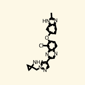 CC(=O)NC1(Cn2cc(-c3cnc4ccc(Oc5ccc6nc(C)[nH]c6c5)c(Cl)c4n3)cn2)CC1